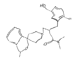 CC1OC2(CCN(CC(Cc3cc(O)ccc3Cl)C(=O)N(C)C)CC2)c2ccccc21